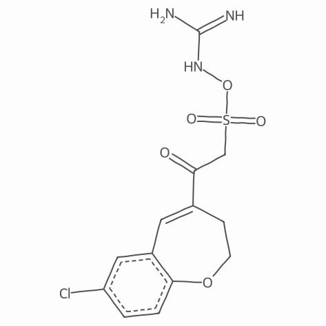 N=C(N)NOS(=O)(=O)CC(=O)C1=Cc2cc(Cl)ccc2OCC1